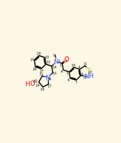 CN(C(=O)Cc1ccc2c(c1)CSN2)C(CN1CC[C@H](O)C1)c1ccccc1